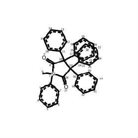 C[Si]1(c2ccccc2)C(=O)C(c2ccccc2)(c2ccccc2)C(c2ccccc2)(c2ccccc2)C1=O